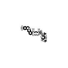 COc1ccc2cc3[n+](cc2c1NCCCNS(=O)(=O)OC[C@@]12OC[C@H]4OC(C)(C)O[C@H]4[C@@H]1OC(C)(C)O2)CCc1cc2c(cc1-3)OCO2